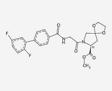 COC(=O)[C@@H]1CC2(CN1C(=O)CNC(=O)c1ccc(-c3cc(F)ccc3F)cc1)OCCO2